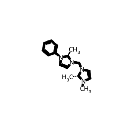 C[C@H]1N(C)C=CN1CN1C=CN(c2ccccc2)[C@H]1C